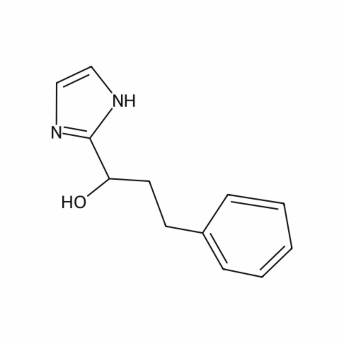 OC(CCc1ccccc1)c1ncc[nH]1